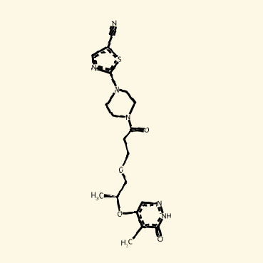 Cc1c(O[C@@H](C)COCCC(=O)N2CCN(c3ncc(C#N)s3)CC2)cn[nH]c1=O